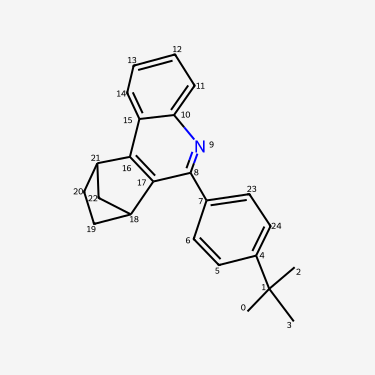 CC(C)(C)c1ccc(-c2nc3ccccc3c3c2C2CCC3C2)cc1